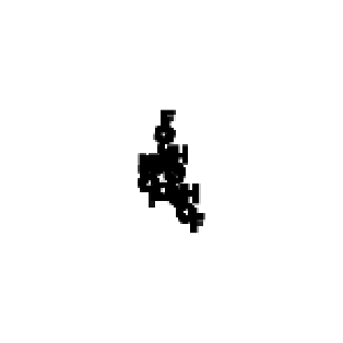 NCc1ccc(F)cc1.O=C(NCc1ccc(F)cc1)c1cccc(C(=O)NCc2ccc(F)cc2)c1